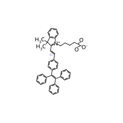 CC1(C)C(/C=C/c2ccc(C(=C(c3ccccc3)c3ccccc3)c3ccccc3)cc2)=[N+](CCCCS(=O)(=O)[O-])c2ccccc21